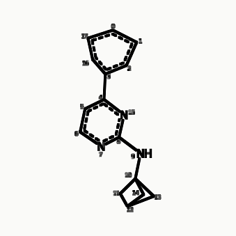 c1ccc(-c2ccnc(NC34CC(C3)C4)n2)cc1